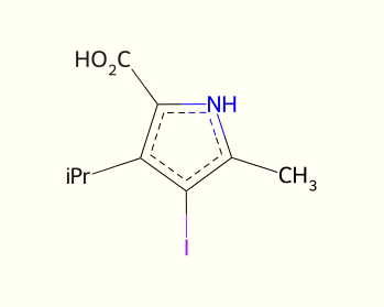 Cc1[nH]c(C(=O)O)c(C(C)C)c1I